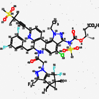 C[C@@H](CC(=O)O)OC(=O)N(c1nn(CC(F)(F)F)c2c(-c3ccc(C#CC(C)(C)S(C)(=O)=O)nc3[C@H](Cc3cc(F)cc(F)c3)NC(=O)Cn3nc(C(F)(F)F)c4c3C(F)(F)[C@@H]3C[C@H]43)ccc(Cl)c12)S(C)(=O)=O